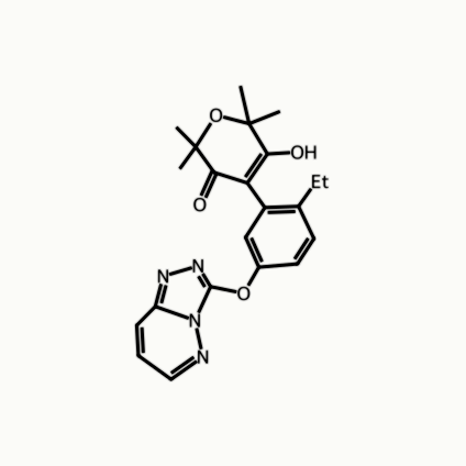 CCc1ccc(Oc2nnc3cccnn23)cc1C1=C(O)C(C)(C)OC(C)(C)C1=O